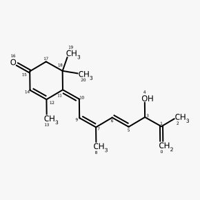 C=C(C)C(O)C=CC(C)=CC=C1C(C)=CC(=O)CC1(C)C